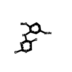 COc1ccc(NC(C)=O)cc1Nc1nc(Cl)ncc1Cl